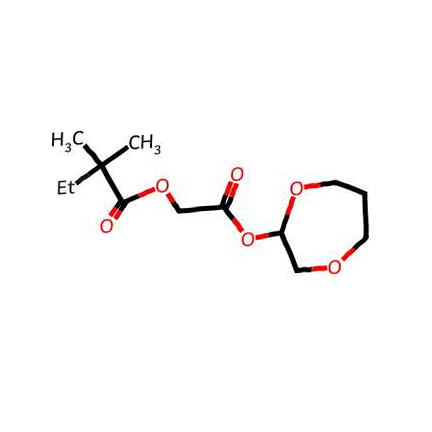 CCC(C)(C)C(=O)OCC(=O)OC1COCCCO1